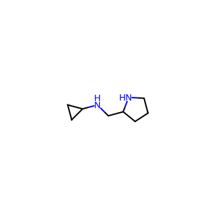 C1CNC(CNC2CC2)C1